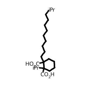 CC(C)CCCCCCCCCC1(C(=O)O)CCCCC1(C(=O)O)C(C)C